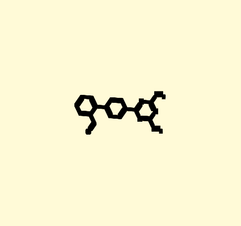 Nc1nc(N)nc(-c2ccc(-c3ccccc3C=O)cc2)n1